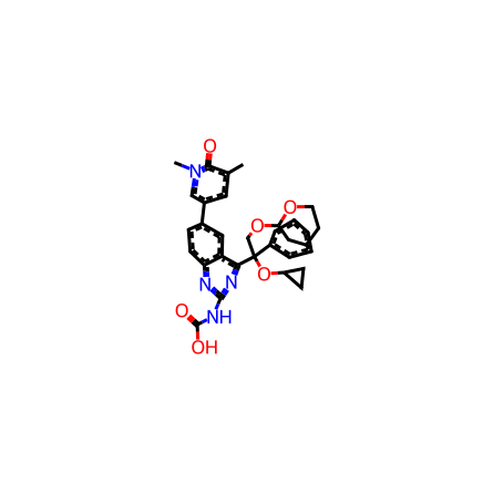 Cc1cc(-c2ccc3nc(NC(=O)O)nc(C(COC4CCCCO4)(OC4CC4)c4ccccc4)c3c2)cn(C)c1=O